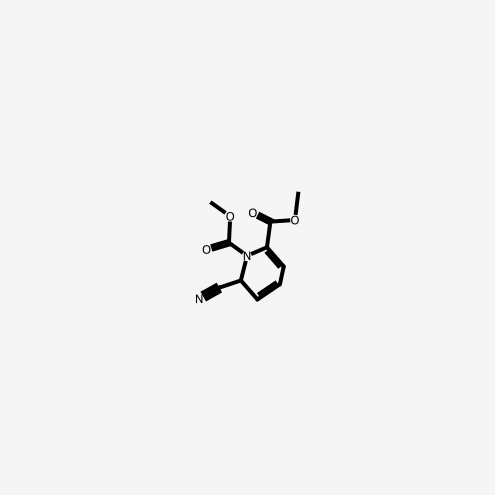 COC(=O)C1=CC=CC(C#N)N1C(=O)OC